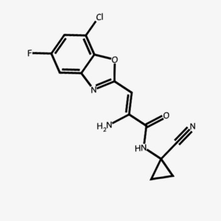 N#CC1(NC(=O)C(N)=Cc2nc3cc(F)cc(Cl)c3o2)CC1